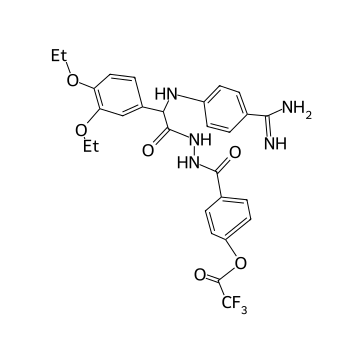 CCOc1ccc(C(Nc2ccc(C(=N)N)cc2)C(=O)NNC(=O)c2ccc(OC(=O)C(F)(F)F)cc2)cc1OCC